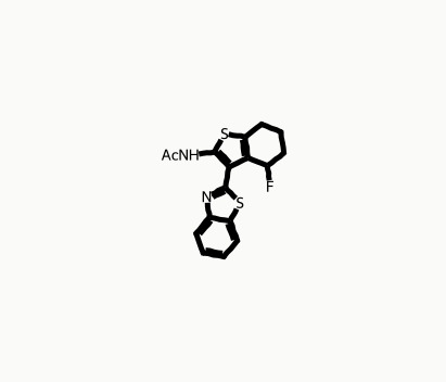 CC(=O)Nc1sc2c(c1-c1nc3ccccc3s1)C(F)CCC2